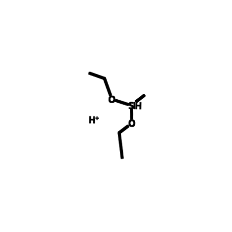 CCO[SiH](C)OCC.[H+]